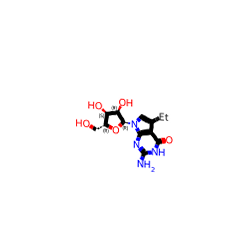 CCc1cn([C@@H]2O[C@H](CO)[C@@H](O)[C@H]2O)c2nc(N)[nH]c(=O)c12